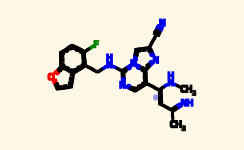 CN/C(=C\C(C)=N)c1cnc(NCc2c(F)ccc3occc23)n2cc(C#N)nc12